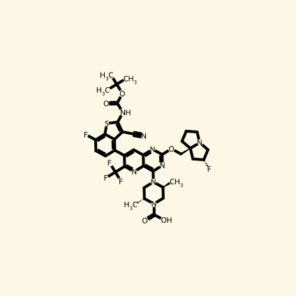 C[C@@H]1CN(c2nc(OC[C@@]34CCCN3C[C@H](F)C4)nc3cc(-c4ccc(F)c5sc(NC(=O)OC(C)(C)C)c(C#N)c45)c(C(F)(F)F)nc23)[C@@H](C)CN1C(=O)O